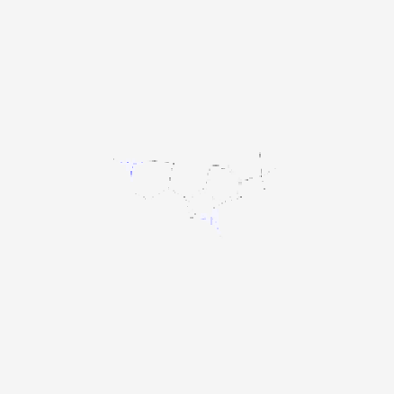 CN1CCC(c2cn(C)c3cc(C(C)(C)C)ccc23)CC1